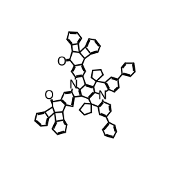 O=C1c2cc3c(cc2C2c4ccccc4C24c2ccccc2C14)c1c2c4c(c5c6cc7c(cc6n3c15)C(=O)C1c3ccccc3C13c1ccccc1C73)C1(CCCC1)c1cc(-c3ccccc3)ccc1N4c1ccc(-c3ccccc3)cc1C21CCCC1